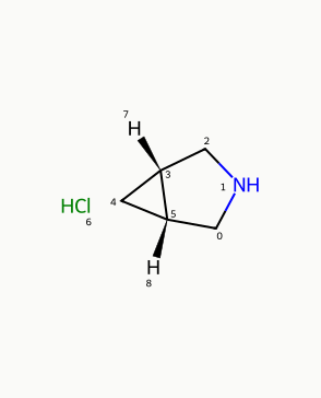 C1NC[C@H]2C[C@@H]12.Cl